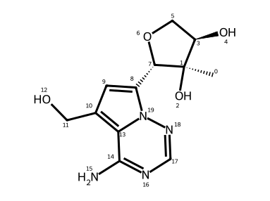 C[C@@]1(O)[C@H](O)CO[C@H]1c1cc(CO)c2c(N)ncnn12